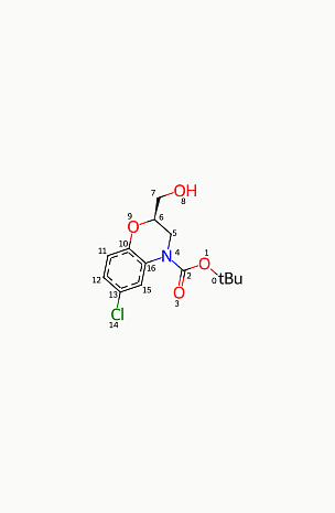 CC(C)(C)OC(=O)N1C[C@H](CO)Oc2ccc(Cl)cc21